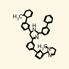 CC1CCC=CC1c1cccc(C2CC(c3cccc(-c4cccc(C5N=CCCN5C)c4)c3)=NC(c3cccc(-c4ccccc4)c3)N2)c1